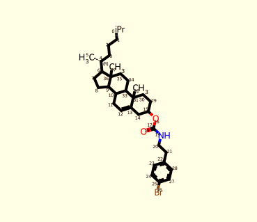 CC(C)CCC[C@@H](C)C1CCC2C3CC=C4CC(OC(=O)NCCc5ccc(Br)cc5)CCC4(C)C3CCC21C